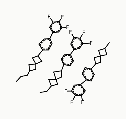 CC1CC2(C1)CC(c1ccc(-c3cc(F)c(F)c(F)c3)cc1)C2.CCC1CC2(C1)CC(c1ccc(-c3cc(F)c(F)c(F)c3)cc1)C2.CCCC1CC2(C1)CC(c1ccc(-c3cc(F)c(F)c(F)c3)cc1)C2